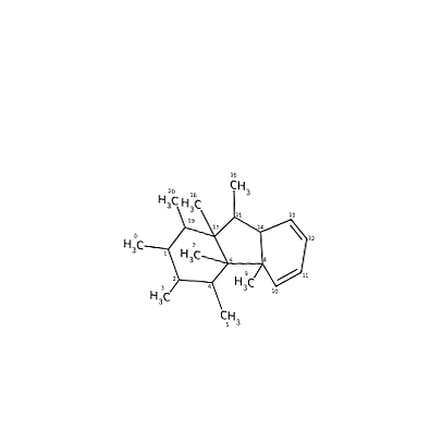 CC1C(C)C(C)C2(C)C3(C)C=CC=CC3C(C)C2(C)C1C